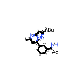 CCCCc1cc2nc(C)cc(C3CCCC(C(=N)C(C)=O)C3)n2n1